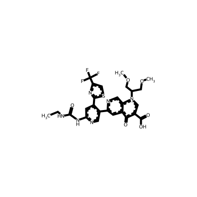 CCNC(=O)Nc1cc(-c2nc(C(F)(F)F)cs2)c(-c2cc3c(=O)c(C(=O)O)cn(C(COC)COC)c3cn2)cn1